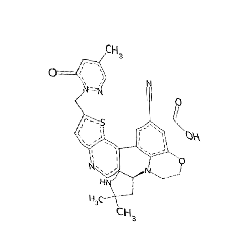 Cc1cnn(Cc2cc3nccc(-c4cc(C#N)cc5c4N([C@@H]4CNC(C)(C)C4)CCO5)c3s2)c(=O)c1.O=CO